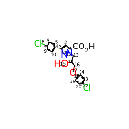 O=C(O)c1cc(-c2ccc(Cl)cc2)nn1CC(O)COc1ccc(Cl)cc1